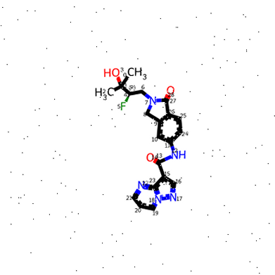 CC(C)(O)[C@H](F)CN1Cc2cc(NC(=O)c3cnn4cccnc34)ccc2C1=O